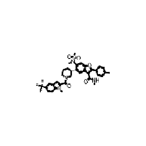 CNC(=O)c1c(-c2ccc(C)cc2)oc2cc(N(C)S(C)(=O)=O)c([C@H]3CCCN(C(=O)c4cc5cc(C(F)(F)F)ccc5n4C)C3)cc12